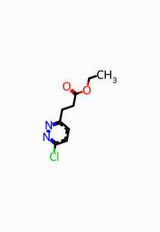 CCOC(=O)CCc1ccc(Cl)nn1